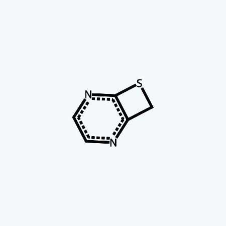 c1cnc2c(n1)CS2